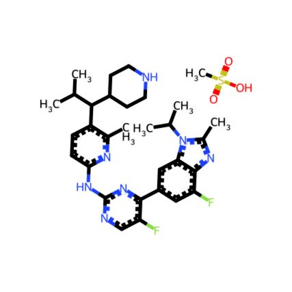 CS(=O)(=O)O.Cc1nc(Nc2ncc(F)c(-c3cc(F)c4nc(C)n(C(C)C)c4c3)n2)ccc1C(C(C)C)C1CCNCC1